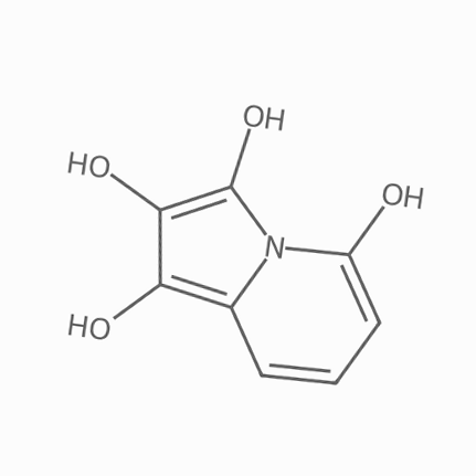 Oc1c(O)c2cccc(O)n2c1O